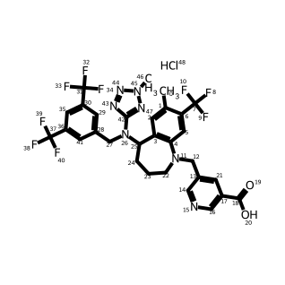 Cc1cc2c(cc1C(F)(F)F)N(Cc1cncc(C(=O)O)c1)CCCC2N(Cc1cc(C(F)(F)F)cc(C(F)(F)F)c1)c1nnn(C)n1.Cl